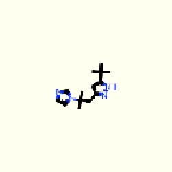 CC(C)(C)c1cc(CC(C)(C)n2ccnc2)n[nH]1